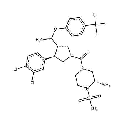 C[C@@H](Oc1ccc(C(F)(F)F)cc1)[C@@H]1CN(C(=O)N2CCN(S(C)(=O)=O)[C@@H](C)C2)C[C@H]1c1ccc(Cl)c(Cl)c1